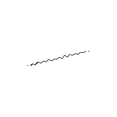 [CH]=CC=CCCCCCCCCCCCCCCCCC[CH2]